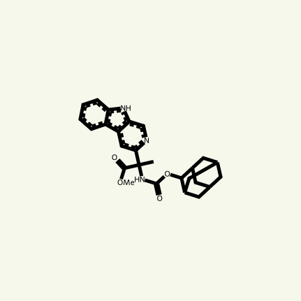 COC(=O)C(C)(NC(=O)OC1C2CC3CC(C2)CC1C3)c1cc2c(cn1)[nH]c1ccccc12